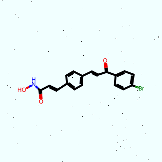 O=C(C=Cc1ccc(C=CC(=O)c2ccc(Br)cc2)cc1)NO